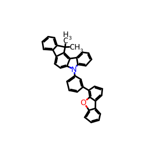 CC1(C)c2ccccc2-c2ccc3c(c21)c1ccccc1n3-c1cccc(-c2cccc3c2oc2ccccc23)c1